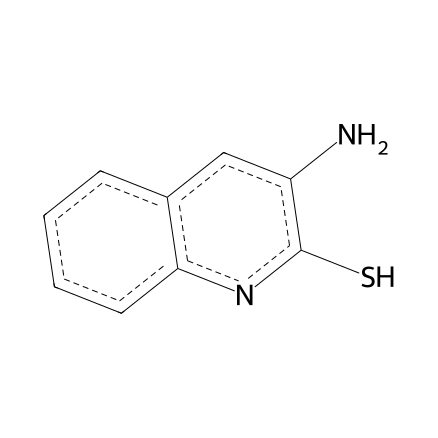 Nc1cc2ccccc2nc1S